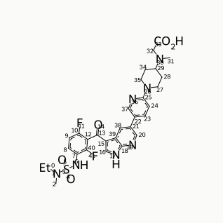 CCN(C)S(=O)(=O)Nc1ccc(F)c(C(=O)c2c[nH]c3ncc(-c4ccc(N5CCC(N(C)CC(=O)O)CC5)nc4)cc23)c1F